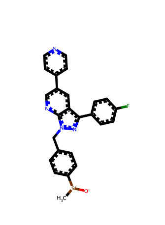 C[S+]([O-])c1ccc(Cn2nc(-c3ccc(F)cc3)c3cc(-c4ccncc4)cnc32)cc1